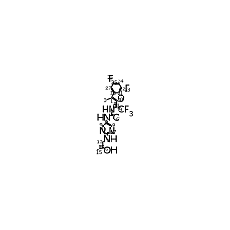 Cc1c([C@@H](NC(=O)Nc2cnc(NC[C@H](C)O)nc2)C(F)(F)F)oc2c(F)cc(F)cc12